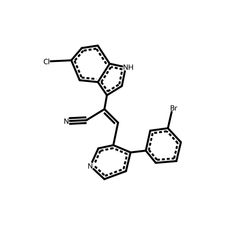 N#C/C(=C\c1cnccc1-c1cccc(Br)c1)c1c[nH]c2ccc(Cl)cc12